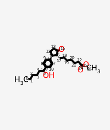 CCCCC[C@H](O)c1ccc([C@H]2CCC(=O)[C@@H]2CCCCCCC(=O)OC)cc1